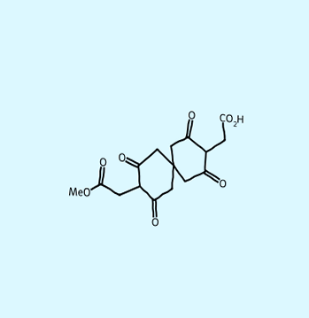 COC(=O)CC1C(=O)CC2(CC(=O)C(CC(=O)O)C(=O)C2)CC1=O